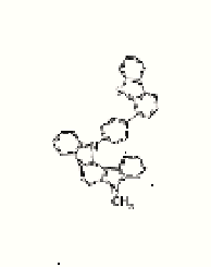 Cn1c2ccccc2c2c1ccc1c3ccccc3n(-c3ccc(-c4cccc5c4sc4ccccc45)cc3)c12